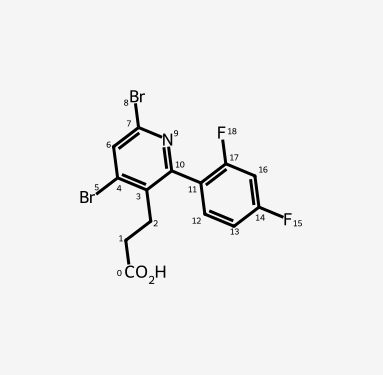 O=C(O)CCc1c(Br)cc(Br)nc1-c1ccc(F)cc1F